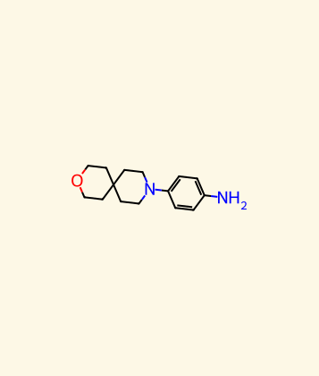 Nc1ccc(N2CCC3(CCOCC3)CC2)cc1